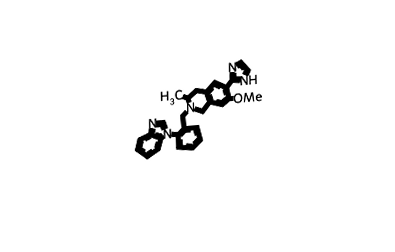 COc1cc2c(cc1-c1ncc[nH]1)CC(C)N(Cc1ccccc1-n1cnc3ccccc31)C2